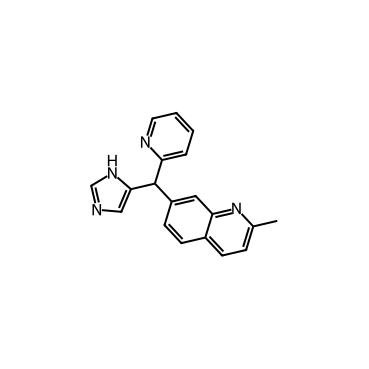 Cc1ccc2ccc(C(c3ccccn3)c3cnc[nH]3)cc2n1